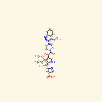 C=C/C(OC)=c1/c(C(=O)C(=O)N2CCN(/C(=N/N)N(N=C)c3ccccc3)CC2)c[nH]/c1=C(/N)c1cc(C(=O)O)[nH]n1